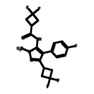 Cn1nc(C2CC(F)(F)C2)c(-c2ccc(F)cc2)c1NC(=O)C1CC(F)(F)C1